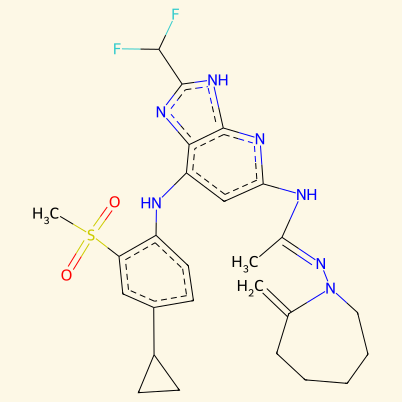 C=C1CCCCCN1/N=C(\C)Nc1cc(Nc2ccc(C3CC3)cc2S(C)(=O)=O)c2nc(C(F)F)[nH]c2n1